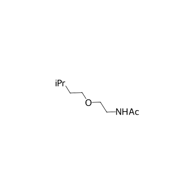 CC(=O)NCCOCCC(C)C